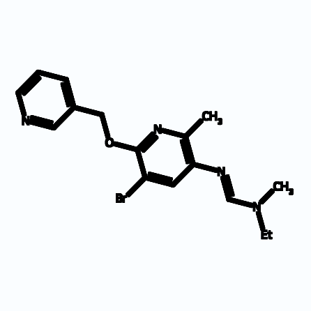 CCN(C)/C=N/c1cc(Br)c(OCc2cccnc2)nc1C